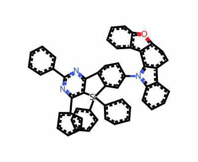 c1ccc(-c2nc(-c3ccccc3)c3c(n2)-c2ccc(-n4c5ccccc5c5ccc6oc7ccccc7c6c54)cc2[Si]3(c2ccccc2)c2ccccc2)cc1